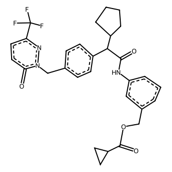 O=C(OCc1cccc(NC(=O)C(c2ccc(Cn3nc(C(F)(F)F)ccc3=O)cc2)C2CCCC2)c1)C1CC1